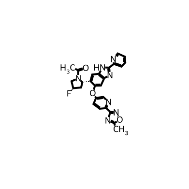 CC(=O)N1C[C@@H](F)C[C@H]1c1cc2[nH]c(-c3ccccn3)nc2cc1Oc1ccc(-c2noc(C)n2)nc1